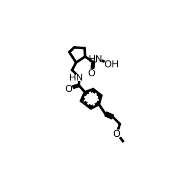 COCC#Cc1ccc(C(=O)NCC2CCCC2C(=O)NO)cc1